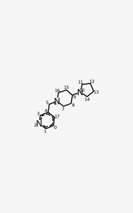 c1cncc(CN2CCC(N3CCCC3)CC2)c1